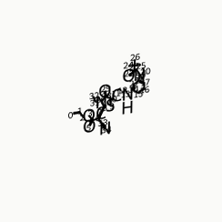 C=CCOC(=O)C(=C=c1sc(=C=CNc2cccc(N(C)C(=O)C(C)(C)C)c2)c(=O)n1CC)C#N